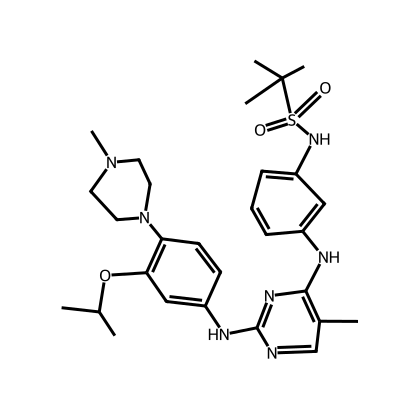 Cc1cnc(Nc2ccc(N3CCN(C)CC3)c(OC(C)C)c2)nc1Nc1cccc(NS(=O)(=O)C(C)(C)C)c1